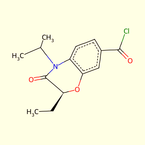 CC[C@@H]1Oc2cc(C(=O)Cl)ccc2N(C(C)C)C1=O